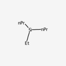 CCC[Si](CC)CCC